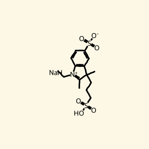 CC[N+]1=C(C)C(C)(CCCS(=O)(=O)O)c2cc(S(=O)(=O)[O-])ccc21.[NaH]